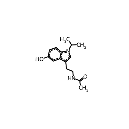 CC(=O)NCCc1cn(C(C)C)c2ccc(O)cc12